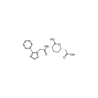 O=C(O)C[C@@H]1CC[C@H](NC(=O)Cn2ccnc2-c2ccccc2)B(O)O1